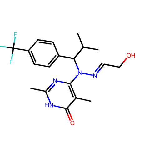 Cc1nc(N(/N=C/CO)C(c2ccc(C(F)(F)F)cc2)C(C)C)c(C)c(=O)[nH]1